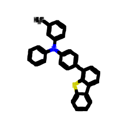 Cc1cccc(N(c2ccccc2)c2ccc(-c3cccc4c3sc3ccccc34)cc2)c1